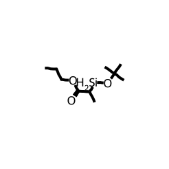 CCCOC(=O)C(C)[SiH2]OC(C)(C)C